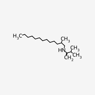 C=C(NCC(C)CCCCCCCCCCC)C(C)C